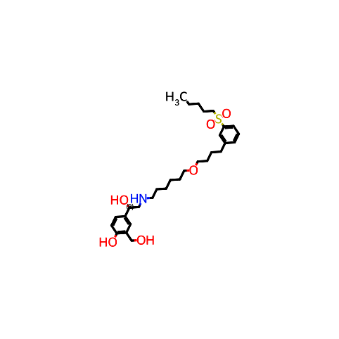 CCCCCS(=O)(=O)c1cccc(CCCCOCCCCCCNC[C@H](O)c2ccc(O)c(CO)c2)c1